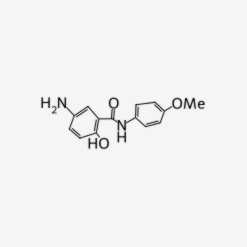 COc1ccc(NC(=O)c2cc(N)ccc2O)cc1